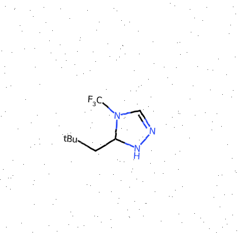 CC(C)(C)CC1NN=CN1C(F)(F)F